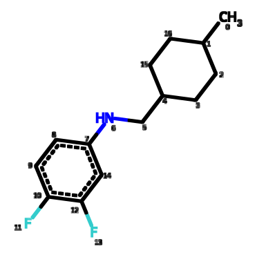 CC1CCC(CNc2ccc(F)c(F)c2)CC1